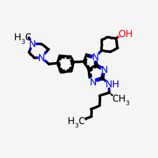 CCCCC[C@H](C)Nc1ncc2c(-c3ccc(CN4CCN(C)CC4)cc3)cn(C3CCC(O)CC3)c2n1